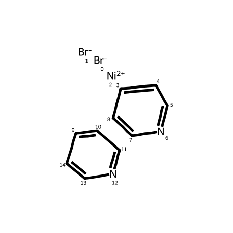 [Br-].[Br-].[Ni+2].c1ccncc1.c1ccncc1